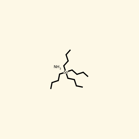 CCC[CH2][Sn]([CH2]CCC)([CH2]CCC)[CH2]CCC.N